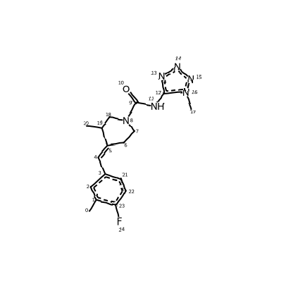 Cc1cc(C=C2CCN(C(=O)Nc3nnnn3C)CC2C)ccc1F